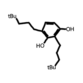 CC(C)(C)CCCc1ccc(O)c(CCCC(C)(C)C)c1O